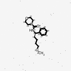 COCCCC[C@@H](NC(=O)N1CCOCC1)c1ccccc1